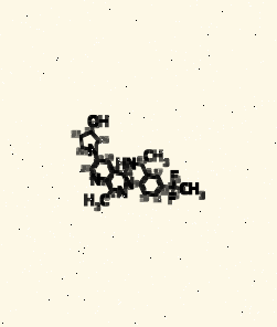 Cc1nnc(N[C@H](C)c2cccc(C(C)(F)F)c2)c2cc(N3CC[C@H](O)C3)cnc12